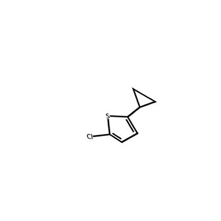 Clc1ccc(C2CC2)s1